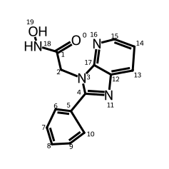 O=C(Cn1c(-c2ccccc2)nc2cccnc21)NO